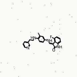 Cc1cc(N/C=C2/C(=O)Nc3cccc(F)c32)ccc1NCCc1cccnc1